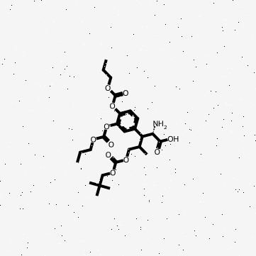 CCCOC(=O)Oc1ccc(C(C(C)COC(=O)OCC(C)(C)C)[C@H](N)C(=O)O)cc1OC(=O)OCCC